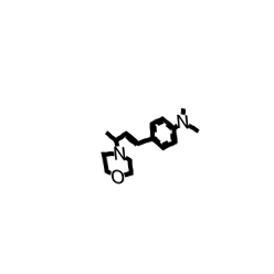 CC(C=Cc1ccc(N(C)C)cc1)N1CCOCC1